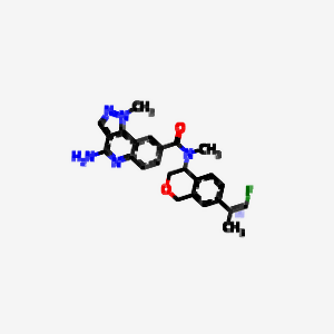 C/C(=C/F)c1ccc2c(c1)COCC2N(C)C(=O)c1ccc2nc(N)c3cnn(C)c3c2c1